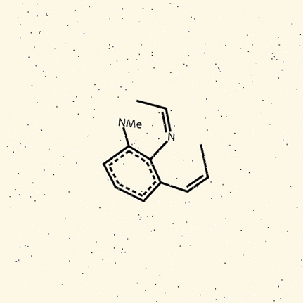 C/C=C\c1cccc(NC)c1/N=C\C